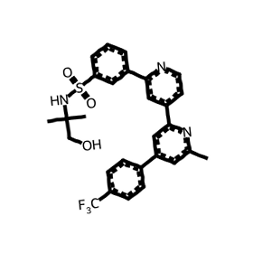 Cc1cc(-c2ccc(C(F)(F)F)cc2)cc(-c2ccnc(-c3cccc(S(=O)(=O)NC(C)(C)CO)c3)c2)n1